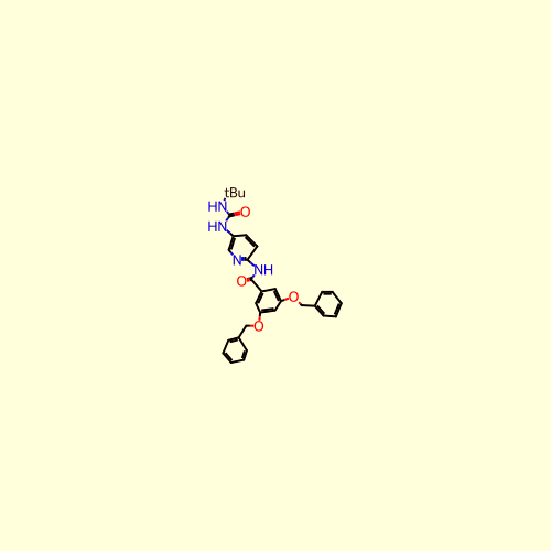 CC(C)(C)NC(=O)Nc1ccc(NC(=O)c2cc(OCc3ccccc3)cc(OCc3ccccc3)c2)nc1